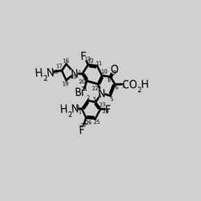 Nc1cc(-n2cc(C(=O)O)c(=O)c3cc(F)c(N4CC(N)C4)c(Br)c32)c(F)cc1F